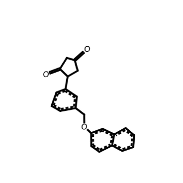 O=C1CC(=O)C(c2cccc(COc3ccc4ccccc4c3)c2)C1